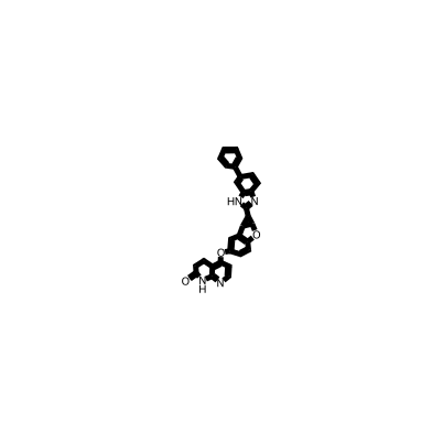 O=C1CCc2c(Oc3ccc4c(c3)C3C(O4)C3c3nc4ccc(-c5ccccc5)cc4[nH]3)ccnc2N1